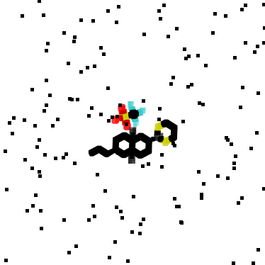 CCC[C@H]1CC[C@@H]2C[C@H]([C+]3SCCCS3)CC[C@H]2C1.O=S(=O)([O-])C(F)(F)F